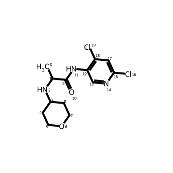 CC(NC1CCOCC1)C(=O)Nc1cnc(Cl)cc1Cl